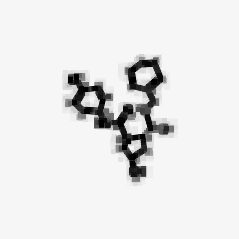 O=C(OCc1ccccc1)[C@@H]1C[C@@H](O)CN1C(=O)Nc1ccc(Cl)cc1